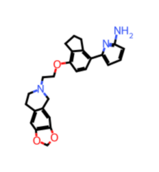 Nc1cccc(-c2ccc(OCCN3CCc4cc5c(cc4C3)OCO5)c3c2CCC3)n1